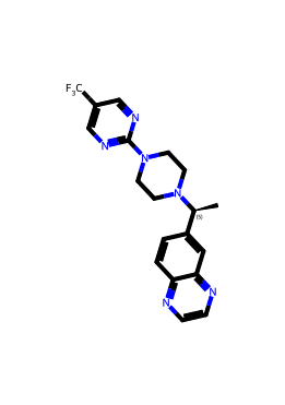 C[C@@H](c1ccc2nccnc2c1)N1CCN(c2ncc(C(F)(F)F)cn2)CC1